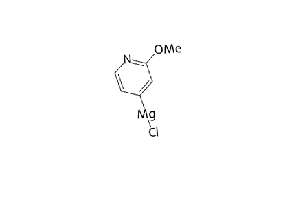 COc1c[c]([Mg][Cl])ccn1